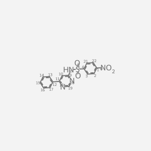 O=[N+]([O-])c1ccc(S(=O)(=O)Nc2cc(-c3ccccc3)ncn2)cc1